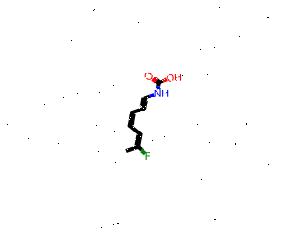 C\C(F)=C/C=C\C=C\NC(=O)O